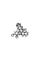 Clc1ccc(Nc2nc3nonc3nc2Nc2cccc3ccccc23)cc1Cl